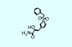 NC(=O)C(O)=Cc1ccn(S(=O)(=O)Cc2ccccc2)c1